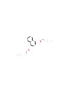 CCCCCCCCCCCC(=O)Oc1ccc(OC(=O)CCCCCCCCCCC)c2ccccc12